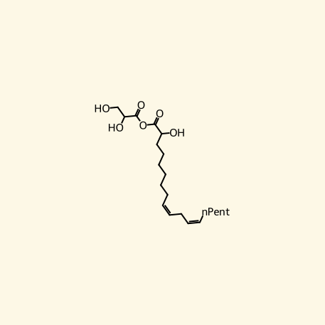 CCCCC/C=C\C/C=C\CCCCCCC(O)C(=O)OC(=O)C(O)CO